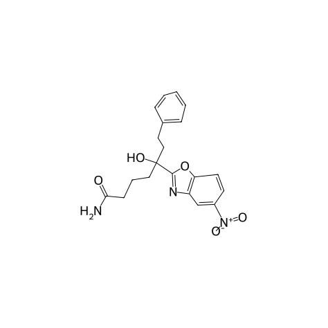 NC(=O)CCCC(O)(CCc1ccccc1)c1nc2cc([N+](=O)[O-])ccc2o1